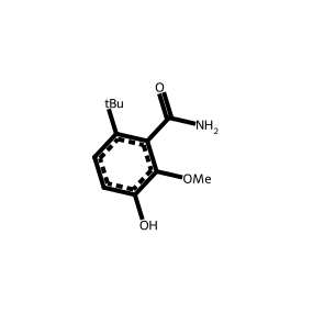 COc1c(O)ccc(C(C)(C)C)c1C(N)=O